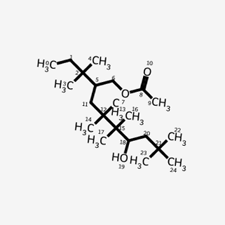 CCC(C)(C)C(COC(C)=O)CC(C)(C)C(C)(C)C(O)CC(C)(C)C